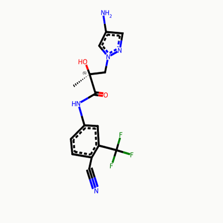 C[C@](O)(Cn1cc(N)cn1)C(=O)Nc1ccc(C#N)c(C(F)(F)F)c1